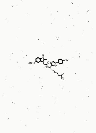 CCC(=O)CCCCC[C@H](NC(=O)Cc1c(C)[nH]c2ccc(OC)cc12)C1=[N+]C=C(c2ccc(C#N)cc2)N1